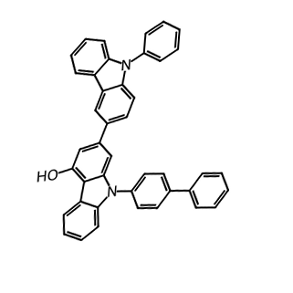 Oc1cc(-c2ccc3c(c2)c2ccccc2n3-c2ccccc2)cc2c1c1ccccc1n2-c1ccc(-c2ccccc2)cc1